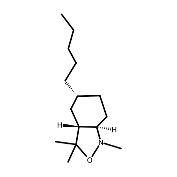 CCCCC[C@@H]1CC[C@@H]2[C@@H](C1)C(C)(C)ON2C